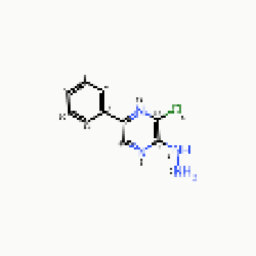 NNc1ncc(-c2ccccc2)nc1Cl